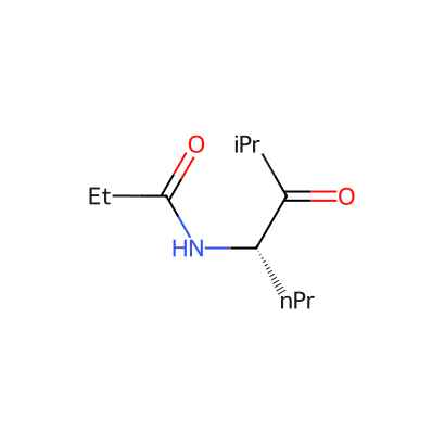 CCC[C@H](NC(=O)CC)C(=O)C(C)C